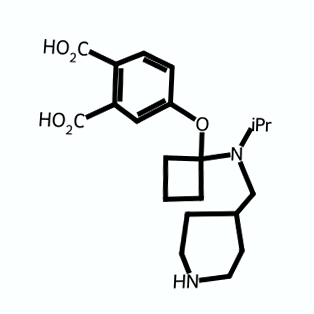 CC(C)N(CC1CCNCC1)C1(Oc2ccc(C(=O)O)c(C(=O)O)c2)CCC1